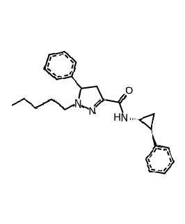 CCCCCN1N=C(C(=O)N[C@@H]2C[C@H]2c2ccccc2)CC1c1ccccc1